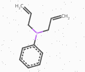 C=CCI(CC=C)c1ccccc1